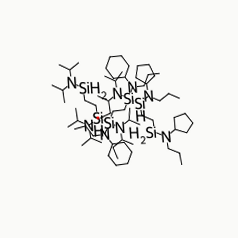 CCCN([SiH2]CC[SiH](N(CCC)C1CCCC1)[Si](CC[Si](N(CCC)C1CCCCC1)(N(C(C)C)C(C)CC)[SiH](CC[SiH2]N(C(C)C)C(C)C)N(C(C)C)C(C)C)(N(CCC)C1CCCCC1)N(C(C)C)C(C)CC)C1CCCC1